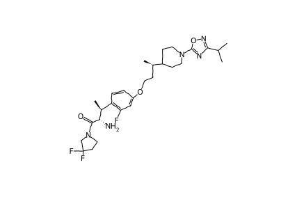 CC(C)c1noc(N2CCC([C@H](C)CCOc3ccc([C@H](C)[C@H](N)C(=O)N4CCC(F)(F)C4)c(F)c3)CC2)n1